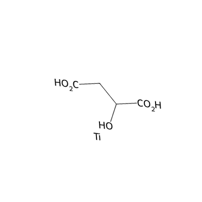 O=C(O)CC(O)C(=O)O.[Ti]